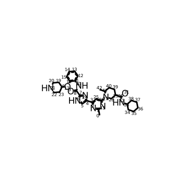 Cc1nc(-c2c[nH]c(C(=O)Nc3ccccc3OC3CCNCC3)n2)cc(N2CC(C(=O)NC3CCCCC3)CCC2C)n1